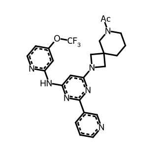 CC(=O)N1CCCC2(C1)CN(c1cc(Nc3cc(OC(F)(F)F)ccn3)nc(-c3cccnc3)n1)C2